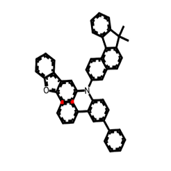 CC1(C)c2ccccc2-c2c1ccc1cc(N(c3ccc4oc5ccccc5c4c3)c3ccc(-c4ccccc4)cc3-c3ccccc3)ccc21